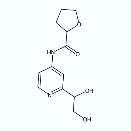 O=C(Nc1ccnc(C(O)CO)c1)C1CCCO1